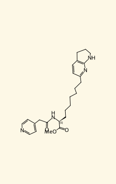 COC(=O)[C@H](CCCCCCCc1ccc2c(n1)NCCC2)NC(=O)Cc1ccncc1